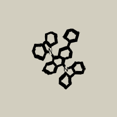 C1=Cc2c(c3c(n2-c2c4ccccc4c(-n4c5ccccc5c5ccccc54)c4ccc(-c5ccccc5)cc24)C=CCC3)CC1